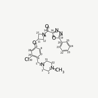 CN1CCN(Cc2ccc(OC3CN(C(=O)c4nnc(-c5ccccc5)o4)C3)cc2Cl)CC1